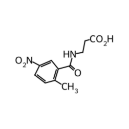 Cc1ccc([N+](=O)[O-])cc1C(=O)NCCC(=O)O